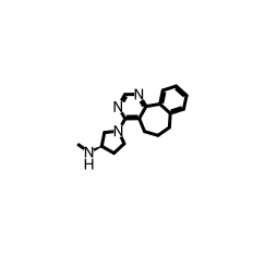 CN[C@@H]1CCN(c2ncnc3c2CCCc2ccccc2-3)C1